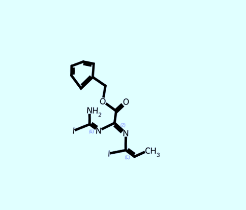 C\C=C(I)/N=C(\N=C(/N)I)C(=O)OCc1ccccc1